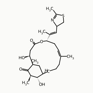 CC1=NC(/C=C(\C)[C@@H]2C/C=C(/C)CCC[C@@H]3C[C@@](C)(C(=O)[C@H](C)[C@H]3O)[C@@H](O)CC(=O)O2)CS1